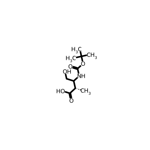 C[C@H](C(=O)O)C(CO)NC(=O)OC(C)(C)C